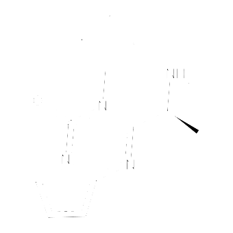 C[C@H](N)c1nc2cccn2c(=O)n1C1CCC1